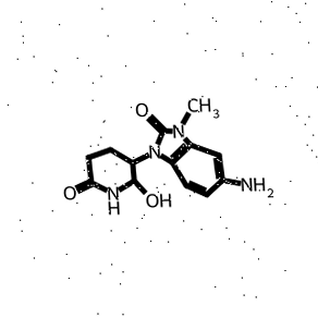 Cn1c(=O)n(C2CCC(=O)NC2O)c2ccc(N)cc21